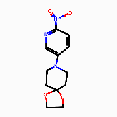 O=[N+]([O-])c1ccc(N2CCC3(CC2)OCCO3)cn1